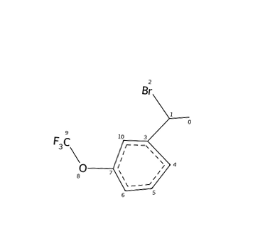 CC(Br)c1cccc(OC(F)(F)F)c1